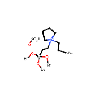 CCCCCCCCCCCC[N+]1(CC[Si](OCC)(OCC)OCC)CCCC1.O=S(=O)([O-])O